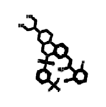 CC(=Cc1ccc2c(c1)N(S(=O)(=O)c1cccc(C(F)(F)F)c1)CC1CN(C(CO)CO)CCN21)c1c(F)cccc1Cl